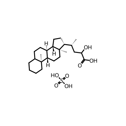 C[C@H](CC(O)C(=O)O)[C@H]1CC[C@H]2[C@@H]3CCC4CCCC[C@]4(C)[C@H]3CC[C@]12C.O=S(=O)(O)O